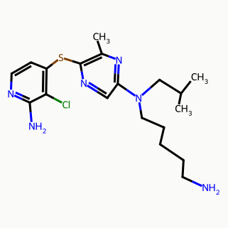 Cc1nc(N(CCCCCN)CC(C)C)cnc1Sc1ccnc(N)c1Cl